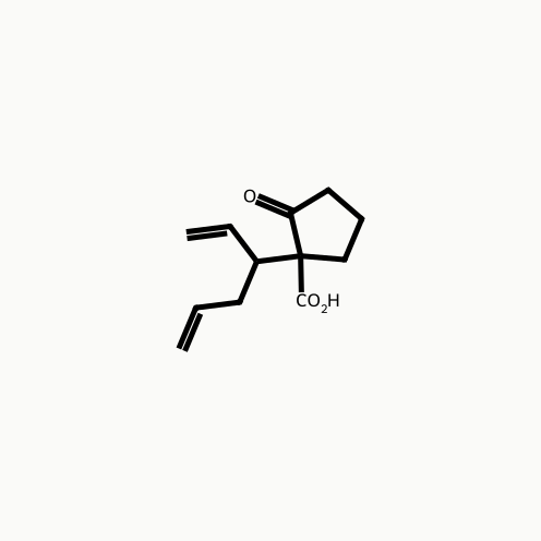 C=CCC(C=C)C1(C(=O)O)CCCC1=O